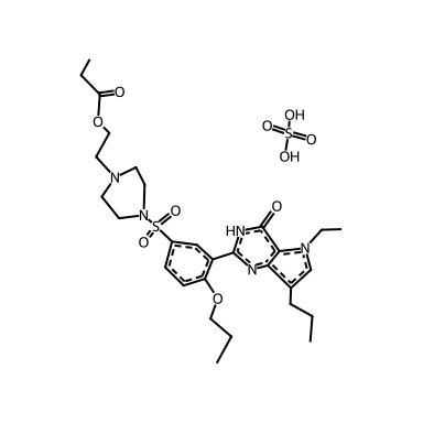 CCCOc1ccc(S(=O)(=O)N2CCN(CCOC(=O)CC)CC2)cc1-c1nc2c(CCC)cn(CC)c2c(=O)[nH]1.O=S(=O)(O)O